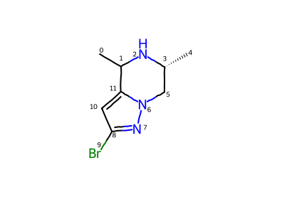 CC1N[C@H](C)Cn2nc(Br)cc21